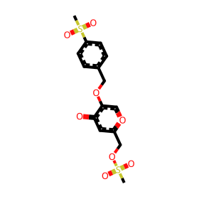 CS(=O)(=O)OCc1cc(=O)c(OCc2ccc(S(C)(=O)=O)cc2)co1